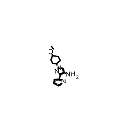 CCOC1CCC(n2cc(N)c(-c3ccccn3)n2)CC1